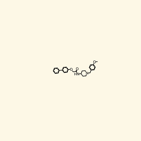 COc1ccc(CN2CCC(NC(=O)COc3ccc(-c4ccccc4)cc3)CC2)cc1